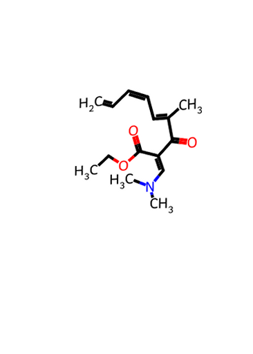 C=C/C=C\C=C(/C)C(=O)/C(=C/N(C)C)C(=O)OCC